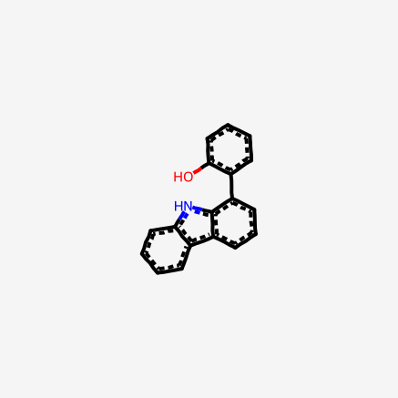 Oc1ccccc1-c1cccc2c1[nH]c1ccccc12